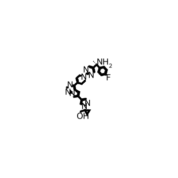 C[C@](N)(c1ccc(F)cc1)c1cnc(N2CC=C(c3ncnn4cc(-c5cnn(C6(CO)CC6)c5)cc34)CC2)nc1